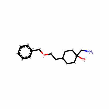 NCC1(O)CCC(CCOCc2ccccc2)CC1